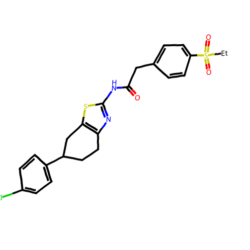 CCS(=O)(=O)c1ccc(CC(=O)Nc2nc3c(s2)CC(c2ccc(Cl)cc2)CC3)cc1